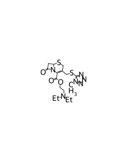 CCN(CC)CCOC(=O)C1=C(CSc2nnnn2C)CSC2CC(=O)N12